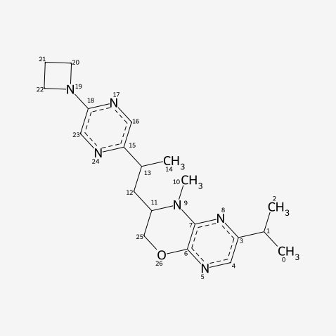 CC(C)c1cnc2c(n1)N(C)C(CC(C)c1cnc(N3CCC3)cn1)CO2